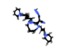 N#CC(C#N)=C1N(CCCN2CCCCC2)CCCN1CCCN1CCCCC1